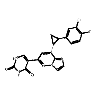 O=c1[nH]cc(-c2cc([C@@H]3C[C@H]3c3ccc(F)c(Cl)c3)c3nccn3n2)c(=O)[nH]1